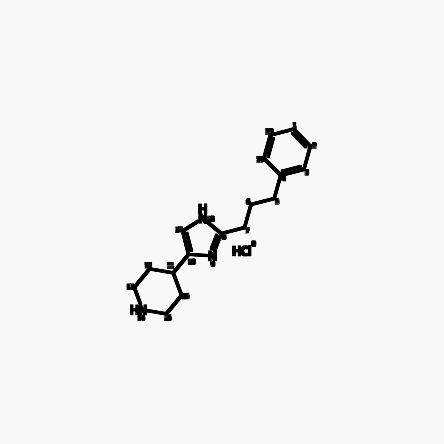 Cl.c1ccc(CCCc2nc(C3CCNCC3)c[nH]2)cc1